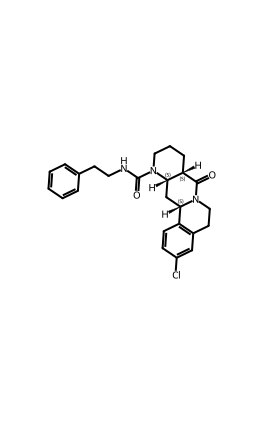 O=C1[C@H]2CCCN(C(=O)NCCc3ccccc3)[C@H]2C[C@H]2c3ccc(Cl)cc3CCN12